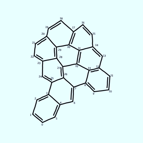 c1ccc2c(c1)cc1c3cccc4cc5ccc6ccc7ccc8cc2c1c1c8c7c6c5c1c43